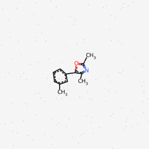 Cc1cccc(-c2oc(C)nc2C)c1